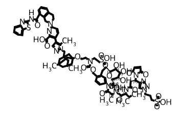 Cc1c(-c2ccc(N3CCc4cccc(C(=O)Nc5nc6ccccc6s5)c4C3)nc2C(=O)O)cnn1CC12CC3(C)CC(C)(C1)CC(OCCN(CCS(=O)(=O)O)C(=O)OCc1ccc(NC(=O)[C@H](C)NC(=O)[C@@H](NC(=O)C[C@H](c4cn(CCCS(=O)(=O)O)nn4)N4C(=O)C=CC4=O)C(C)C)cc1CC[C@@H]1O[C@H](C(=O)O)[C@@H](O)[C@H](O)[C@H]1O)(C3)C2